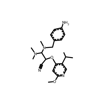 COc1cc(OC(C#N)C(N(C)C)N(C)Cc2ccc(N)cc2)c(C(C)C)cn1